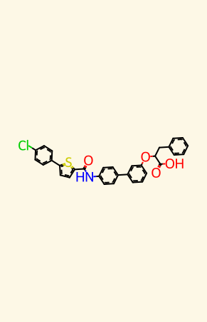 O=C(Nc1ccc(-c2cccc(OC(Cc3ccccc3)C(=O)O)c2)cc1)c1ccc(-c2ccc(Cl)cc2)s1